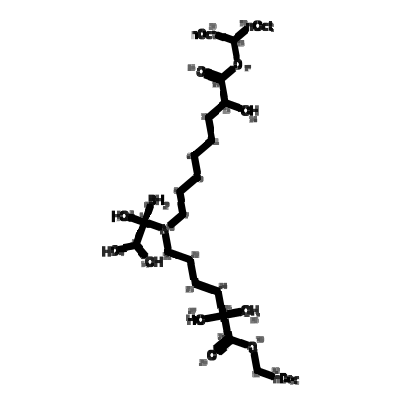 BC(O)(C(O)O)N(CCCCCCC(O)C(=O)OC(CCCCCCCC)CCCCCCCC)CCCCC(O)(O)C(=O)OCCCCCCCCCCC